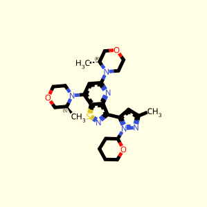 Cc1cc(-c2nsc3c(N4CCOC[C@@H]4C)cc(N4CCOC[C@H]4C)nc23)n(C2CCCCO2)n1